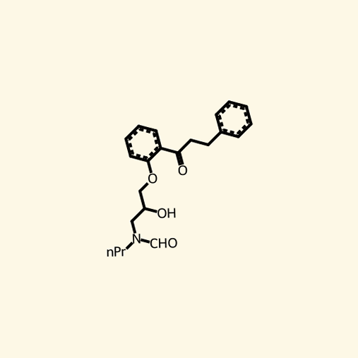 CCCN(C=O)CC(O)COc1ccccc1C(=O)CCc1ccccc1